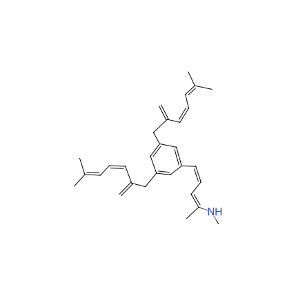 C=C(/C=C\C=C(C)C)Cc1cc(/C=C\C=C(\C)NC)cc(CC(=C)/C=C\C=C(C)C)c1